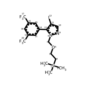 C[Si](C)(C)CCOCn1ncc(I)c1-c1cc(C(F)(F)F)cc(C(F)(F)F)c1